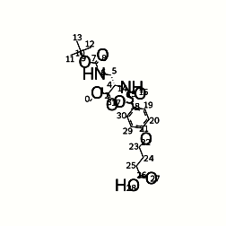 COC(=O)[C@H](CNC(=O)OC(C)(C)C)NS(=O)(=O)c1ccc(OCCCC(=O)O)cc1